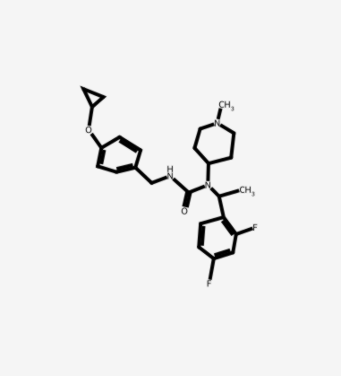 CC(c1ccc(F)cc1F)N(C(=O)NCc1ccc(OC2CC2)cc1)C1CCN(C)CC1